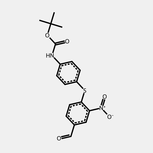 CC(C)(C)OC(=O)Nc1ccc(Sc2ccc(C=O)cc2[N+](=O)[O-])cc1